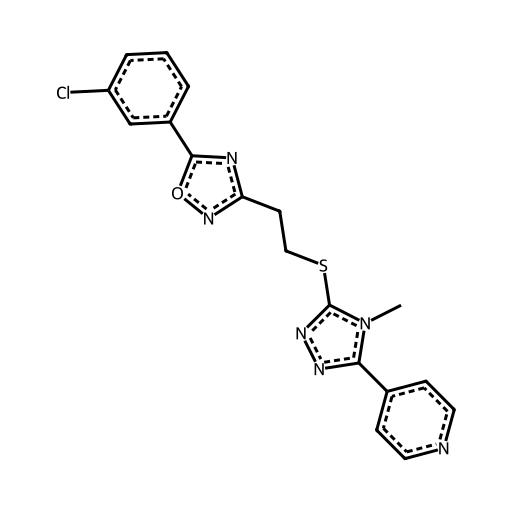 Cn1c(SCCc2noc(-c3cccc(Cl)c3)n2)nnc1-c1ccncc1